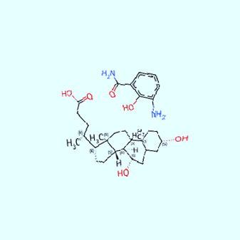 C[C@H](CCC(=O)O)[C@H]1CC[C@H]2[C@@H]3[C@@H](O)CC4C[C@@H](O)CC[C@]4(C)[C@H]3CC[C@]12C.NC(=O)c1cccc(N)c1O